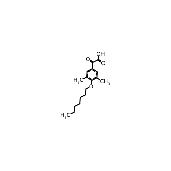 CCCCCCCOc1c(C)cc(C(=O)C(=O)O)cc1C